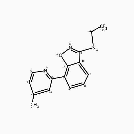 Cc1ccnc(-c2cccc3c(SCC(F)(F)F)noc23)c1